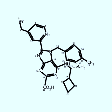 CC(C)Cc1ccnc(-c2nc3nc(C(=O)O)nc(N[C@H](C)C4CCC4)c3n2Cc2ccc(C(F)(F)F)cc2)c1